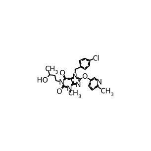 Cc1ccc(Oc2nc3c(c(=O)n(CCC(C)O)c(=O)n3C)n2Cc2ccc(Cl)cc2)cn1